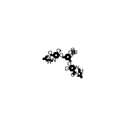 C=C1C[C@H]2C=Nc3cc(OCc4cc(COc5cc6c(cc5OC)C(=O)N5CC(=C)C[C@H]5C=N6)cc(OS(=O)(=O)F)c4)c(OC)cc3C(=O)N2C1